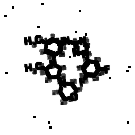 Cc1cc(Nc2ncn(-c3cc(F)cc(F)c3)n2)cc(N2CC(N3CCOCC3)CC2C)c1